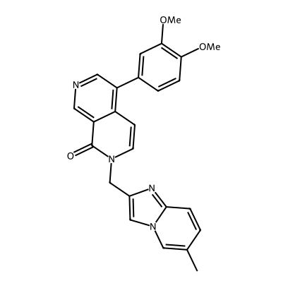 COc1ccc(-c2cncc3c(=O)n(Cc4cn5cc(C)ccc5n4)ccc23)cc1OC